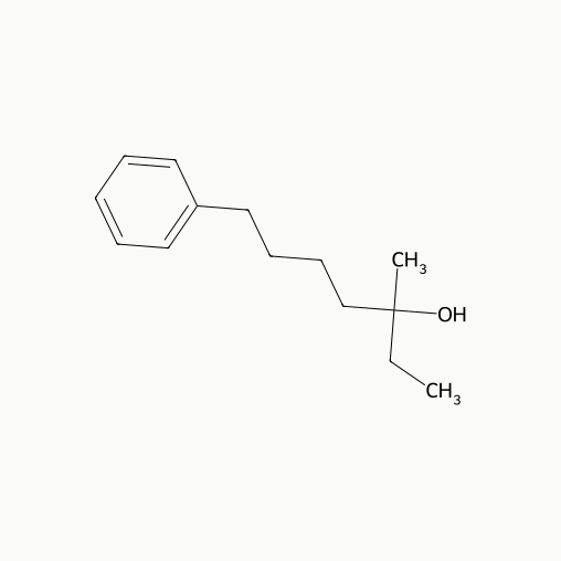 CCC(C)(O)CCCCc1ccccc1